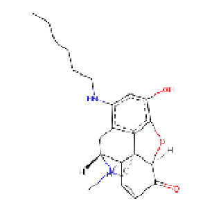 CCCCCCNc1cc(O)c2c3c1C[C@@H]1[C@@H]4C=CC(=O)[C@H](O2)[C@]34CCN1C